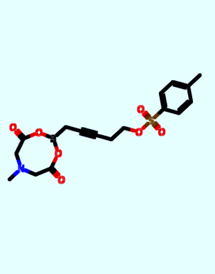 Cc1ccc(S(=O)(=O)OCCC#CCB2OC(=O)CN(C)CC(=O)O2)cc1